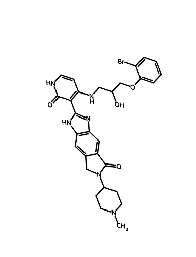 CN1CCC(N2Cc3cc4[nH]c(-c5c(NCC(O)COc6ccccc6Br)cc[nH]c5=O)nc4cc3C2=O)CC1